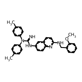 COc1ccccc1CNc1ccc2cc(NC(=N)N(c3ccc(C)cc3)c3ccc(C)cc3)ccc2n1